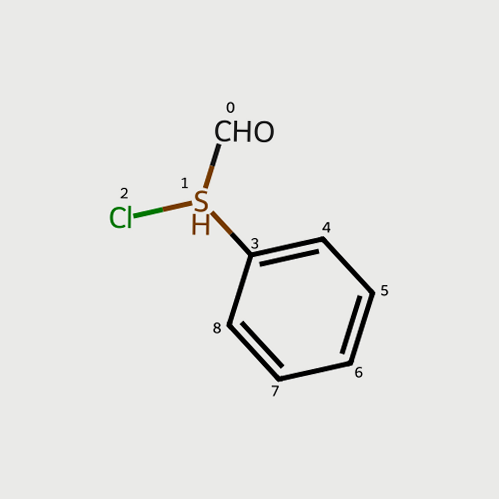 O=C[SH](Cl)c1ccccc1